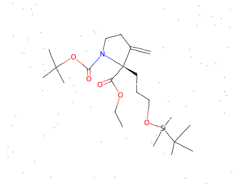 C=C1CCN(C(=O)OC(C)(C)C)[C@@]1(CCCO[Si](C)(C)C(C)(C)C)C(=O)OCC